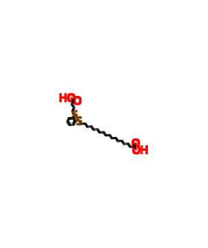 O=C(O)CCCCCCCCCCCCCCCCCSc1ccccc1SCCCC(=O)O